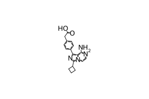 Nc1nccn2c(C3CCC3)nc(-c3ccc(CC(=O)O)cc3)c12